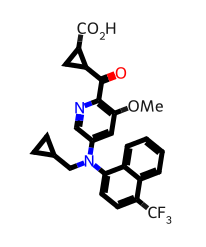 COc1cc(N(CC2CC2)c2ccc(C(F)(F)F)c3ccccc23)cnc1C(=O)C1CC1C(=O)O